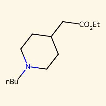 CCCCN1CCC(CC(=O)OCC)CC1